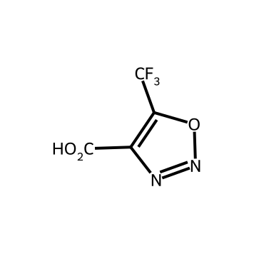 O=C(O)c1nnoc1C(F)(F)F